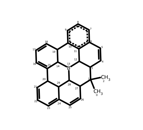 CC1(C)C2C=Cc3cccc4c3C2B2C3C(=CC=CC43)C3C=CC=C4C=CC1C2C43